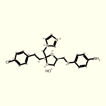 Cl.Nc1ccc(SC[C@H]2CO[C@](CCc3ccc(Cl)cc3)(Cn3ccnc3)O2)cc1